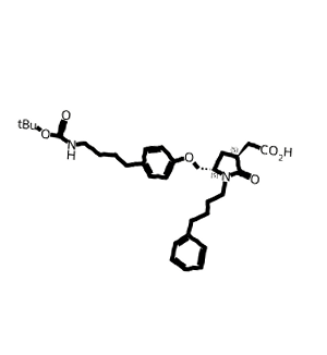 CC(C)(C)OC(=O)NCCCCc1ccc(OC[C@@H]2C[C@@H](CC(=O)O)C(=O)N2CCCCc2ccccc2)cc1